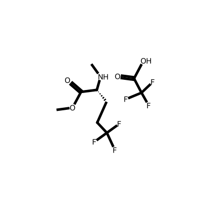 CN[C@H](CCC(F)(F)F)C(=O)OC.O=C(O)C(F)(F)F